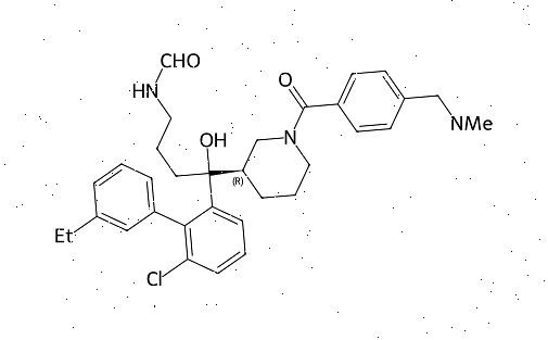 CCc1cccc(-c2c(Cl)cccc2C(O)(CCCNC=O)[C@@H]2CCCN(C(=O)c3ccc(CNC)cc3)C2)c1